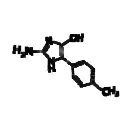 Cc1ccc(-c2[nH]c(N)nc2O)cc1